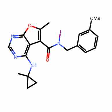 COc1cccc(CN(I)C(=O)c2c(C)oc3ncnc(NC4(C)CC4)c23)c1